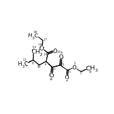 CCOC(=O)C(=O)C(=O)C(CC(C)C)C(=O)OCC